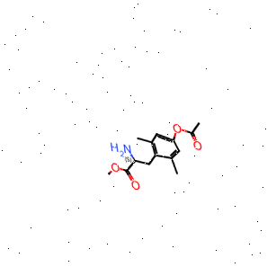 COC(=O)[C@@H](N)Cc1c(C)cc(OC(C)=O)cc1C